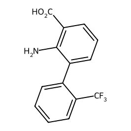 Nc1c(C(=O)O)cccc1-c1ccccc1C(F)(F)F